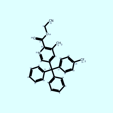 Cc1cc(C(c2ccccc2)(c2ccccc2)c2ccc(C(F)(F)F)cc2)cnc1C(=O)OCC#N